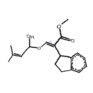 COC(=O)/C(=C/OC(O)C=C(C)C)C1CCc2ccccc21